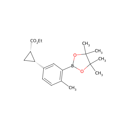 CCOC(=O)[C@H]1C[C@H]1c1ccc(C)c(B2OC(C)(C)C(C)(C)O2)c1